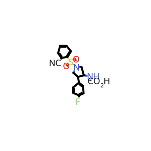 N#Cc1ccccc1S(=O)(=O)N1CC(NC(=O)O)C(c2ccc(F)cc2)C1